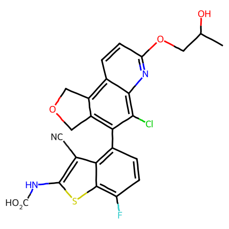 CC(O)COc1ccc2c3c(c(-c4ccc(F)c5sc(NC(=O)O)c(C#N)c45)c(Cl)c2n1)COC3